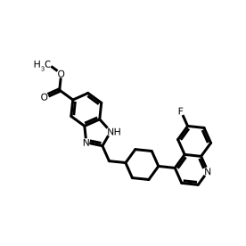 COC(=O)c1ccc2[nH]c(CC3CCC(c4ccnc5ccc(F)cc45)CC3)nc2c1